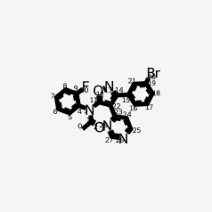 CC(=O)N(c1ccccc1F)c1onc(-c2cccc(Br)c2)c1-c1ccncn1